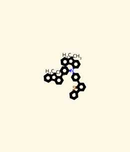 CC1(C)c2ccccc2-c2c(N(c3ccc(-c4cccc5c4sc4ccccc45)cc3)c3cccc(-c4cccc5c4C(C)(C)c4ccccc4-5)c3)cccc21